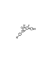 N#Cc1ccc(-c2cc3n(c2)Cc2cc(N4CCNCC4)c(F)cc2NC3=O)cc1